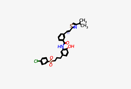 CC(C)c1csc(/C=C/c2cccc(C(=O)Nc3cc(CCCS(=O)(=O)c4ccc(Cl)cc4)ccc3O)c2)n1